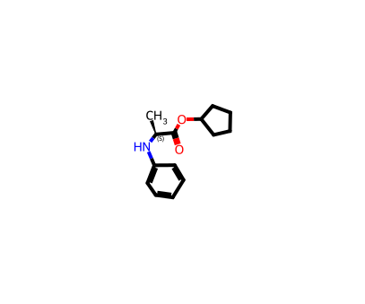 C[C@H](Nc1ccccc1)C(=O)OC1CCCC1